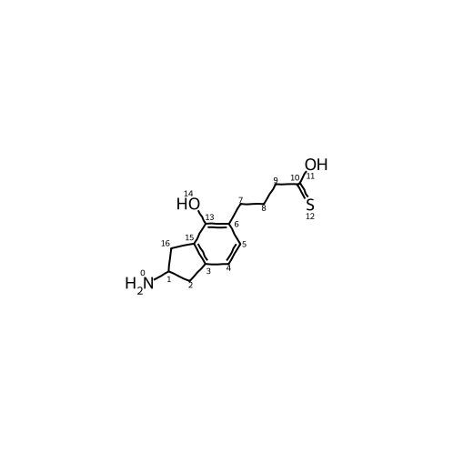 NC1Cc2ccc(CCCC(O)=S)c(O)c2C1